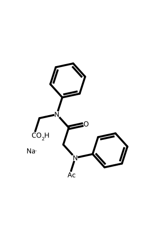 CC(=O)N(CC(=O)N(CC(=O)O)c1ccccc1)c1ccccc1.[Na]